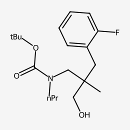 CCCN(CC(C)(CO)Cc1ccccc1F)C(=O)OC(C)(C)C